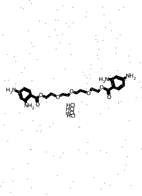 Cl.Cl.Cl.Cl.Nc1ccc(C(=O)OCCOCCOCCOCCOC(=O)c2ccc(N)cc2N)c(N)c1